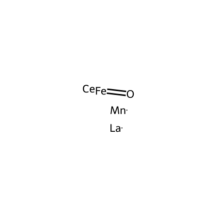 [Ce].[La].[Mn].[O]=[Fe]